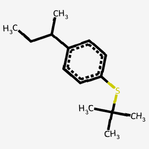 CCC(C)c1ccc(SC(C)(C)C)cc1